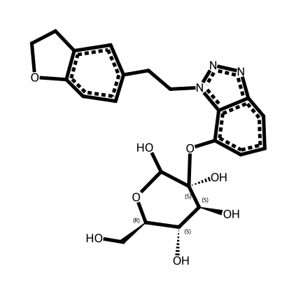 OC[C@H]1OC(O)[C@@](O)(Oc2cccc3nnn(CCc4ccc5c(c4)CCO5)c23)[C@@H](O)[C@@H]1O